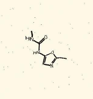 CNC(=O)Nc1cnc(C)o1